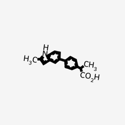 Cc1cc2cc(-c3ccc(C(C)C(=O)O)cc3)ccc2[nH]1